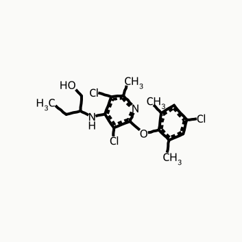 CCC(CO)Nc1c(Cl)c(C)nc(Oc2c(C)cc(Cl)cc2C)c1Cl